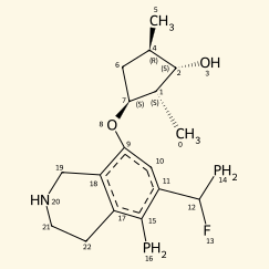 C[C@H]1[C@@H](O)[C@H](C)C[C@@H]1Oc1cc(C(F)P)c(P)c2c1CNCC2